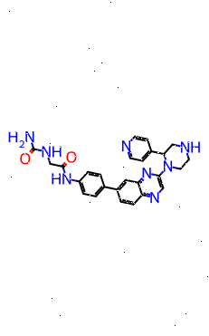 NC(=O)NCC(=O)Nc1ccc(-c2ccc3ncc(N4CCNCC4c4ccncc4)nc3c2)cc1